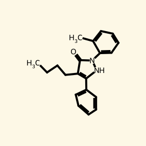 CCCCc1c(-c2ccccc2)[nH]n(-c2ccccc2C)c1=O